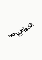 O=C(Nc1nnc(CCc2ccc(Cl)cc2)s1)C1CC(=O)N(c2ccc(CN3CCCNCC3)cc2)C1